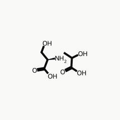 CC(O)C(=O)O.N[C@H](CO)C(=O)O